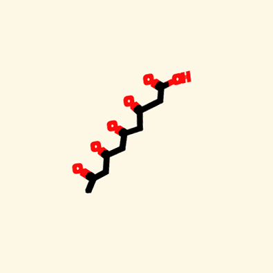 CC(=O)CC(=O)CC(=O)CC(=O)CC(=O)O